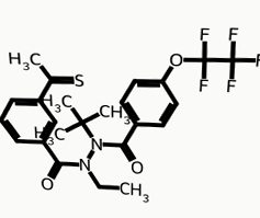 CCN(C(=O)c1cccc(C(C)=S)c1)N(C(=O)c1ccc(OC(F)(F)C(F)(F)F)cc1)C(C)(C)C